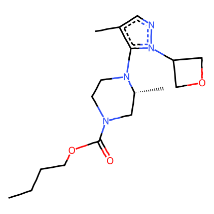 CCCCOC(=O)N1CCN(c2c(C)cnn2C2COC2)[C@H](C)C1